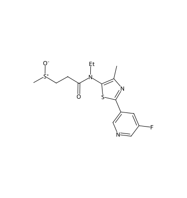 CCN(C(=O)CC[S+](C)[O-])c1sc(-c2cncc(F)c2)nc1C